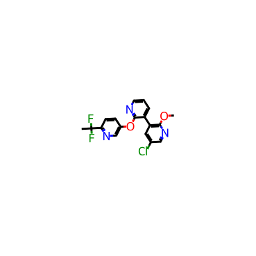 COc1ncc(Cl)cc1-c1cccnc1Oc1ccc(C(C)(F)F)nc1